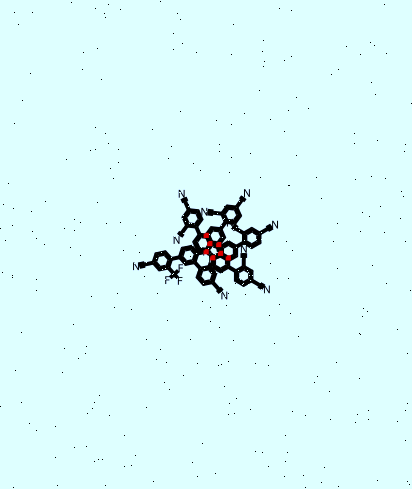 N#Cc1ccc(-c2ccc3c(c2)c2cc(-c4ccc(C#N)cc4C#N)ccc2n3-c2ccc(-c3ccc(C#N)cc3C(F)(F)F)cc2-c2ccc(C#N)cc2-n2c3ccc(-c4ccc(C#N)cc4C#N)cc3c3cc(-c4ccc(C#N)cc4C#N)ccc32)c(C#N)c1